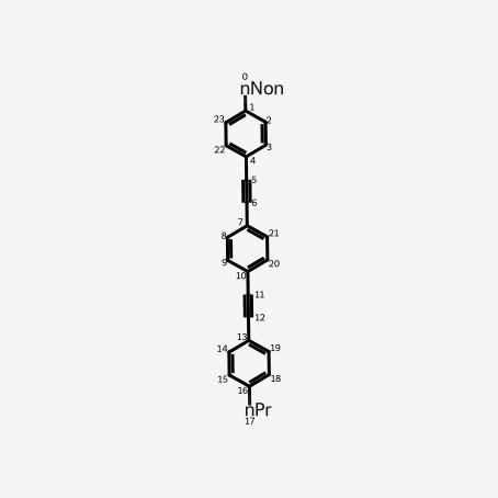 CCCCCCCCCc1ccc(C#Cc2ccc(C#Cc3ccc(CCC)cc3)cc2)cc1